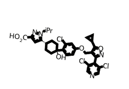 CC(C)n1nc(C(=O)O)cc1[C@H]1CC[C@](O)(c2ccc(OCc3c(-c4c(Cl)cncc4Cl)noc3C3CC3)cc2Cl)CC1